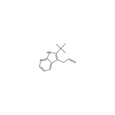 CC(C)(C)c1[nH]c2ncccc2c1CC=O